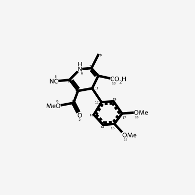 COC(=O)C1=C(C#N)NC(C)=C(C(=O)O)C1c1ccc(OC)c(OC)c1